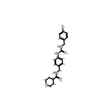 O=C(NCc1ccc(Cl)cc1)Nc1ccc(CNC(=O)C2CCOCC2)cc1